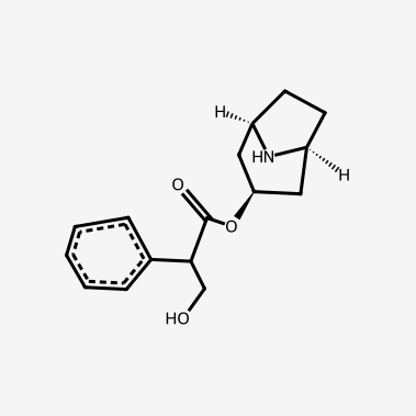 O=C(O[C@H]1C[C@H]2CC[C@@H](C1)N2)C(CO)c1ccccc1